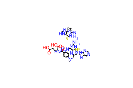 CN(Cc1cnc2nc(N)nc(N)c2n1)c1ccc(C(=O)N[C@@H](CCC(=O)O)C(=O)O)cc1.Nc1nc(=S)c2[nH]cnc2[nH]1.Sn1cnc2cncnc21.[Pt]